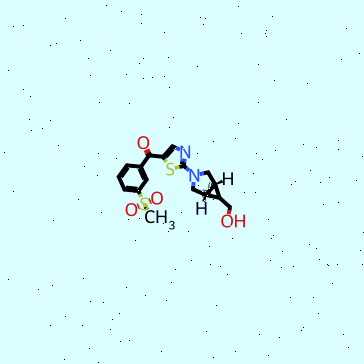 CS(=O)(=O)c1cccc(C(=O)c2cnc(N3C[C@@H]4C(CO)[C@@H]4C3)s2)c1